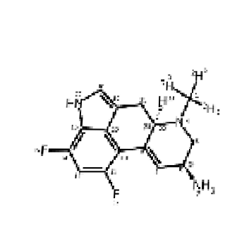 [2H]C([2H])([2H])N1C[C@@H](N)C=C2c3c(F)cc(F)c4[nH]cc(c34)C[C@H]21